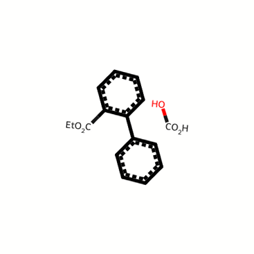 CCOC(=O)c1ccccc1-c1ccccc1.O=C(O)O